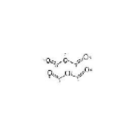 O=COC=O.O=COC=O